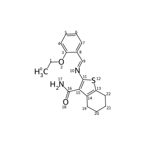 CCOc1ccccc1/C=N/c1sc2c(c1C(N)=O)CCCC2